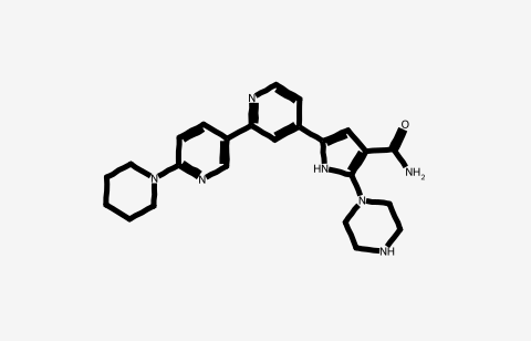 NC(=O)c1cc(-c2ccnc(-c3ccc(N4CCCCC4)nc3)c2)[nH]c1N1CCNCC1